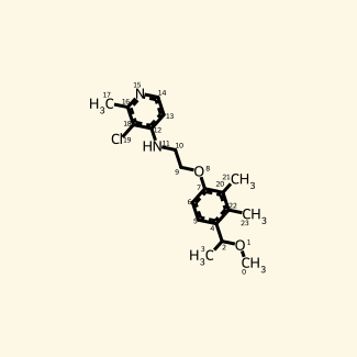 COC(C)c1ccc(OCCNc2ccnc(C)c2Cl)c(C)c1C